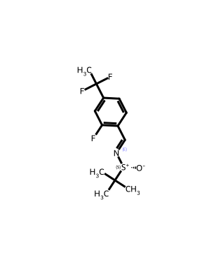 CC(F)(F)c1ccc(/C=N/[S@+]([O-])C(C)(C)C)c(F)c1